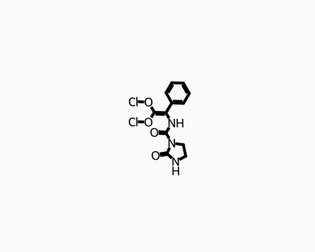 O=C1NCCN1C(=O)NC(=C(OCl)OCl)c1ccccc1